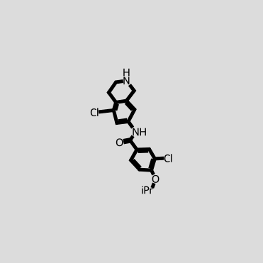 CC(C)Oc1ccc(C(=O)Nc2cc(Cl)c3c(c2)CNCC3)cc1Cl